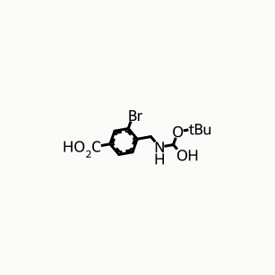 CC(C)(C)OC(O)NCc1ccc(C(=O)O)cc1Br